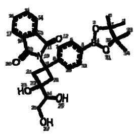 CC1(C)OB(c2ccc(C3(N4C(=O)c5ccccc5C4=O)CC(O)(C(O)CO)C3)cc2)OC1(C)C